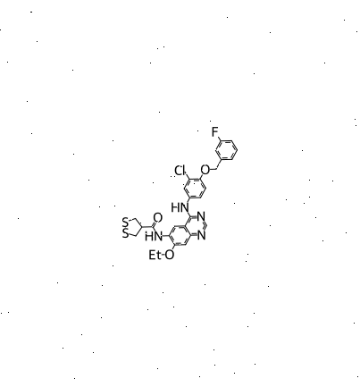 CCOc1cc2ncnc(Nc3ccc(OCc4cccc(F)c4)c(Cl)c3)c2cc1NC(=O)C1CSSC1